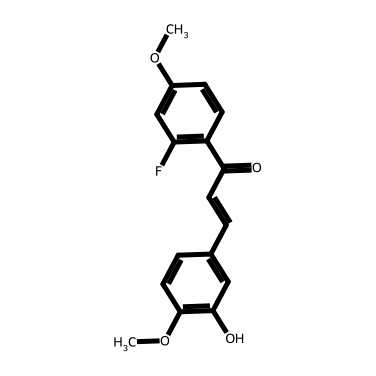 COc1ccc(C(=O)C=Cc2ccc(OC)c(O)c2)c(F)c1